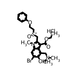 CCOC(=O)c1c(C[S+]([O-])CCOc2ccccc2)n(C)c2cc(Br)c(O)c(CN(C)C)c12.Cl